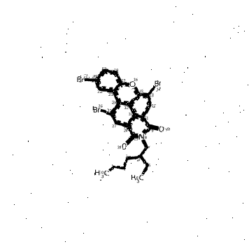 CCCCC(CC)Cn1c(=O)c2cc(Br)c3oc4ccc(Br)cc4c4c(Br)cc(c1=O)c2c34